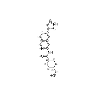 O=C(Nc1cc2cc(-c3cn[nH]c3)ccc2cn1)C1CCC(CO)CC1